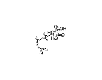 CP(C)C.CP(C)C.CP(C)C.O=C(O)P(=O)(O)O